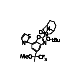 COC(C)(c1cc(-c2nccs2)c2oc(N3CC4CCCC(C3)N4C(=O)OC(C)(C)C)nc2c1)C(F)(F)F